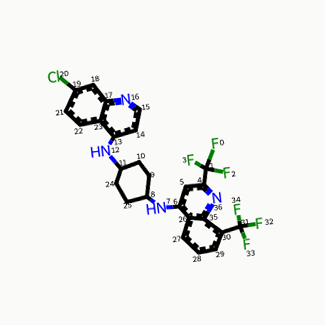 FC(F)(F)c1cc(NC2CCC(Nc3ccnc4cc(Cl)ccc34)CC2)c2cccc(C(F)(F)F)c2n1